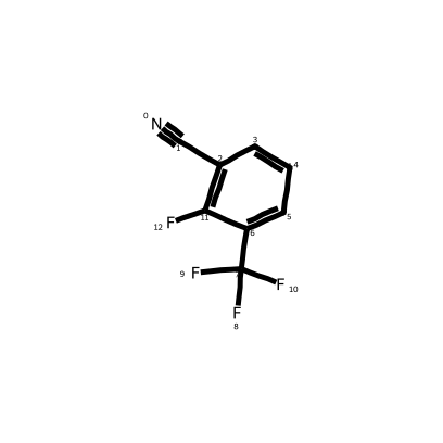 N#Cc1c[c]cc(C(F)(F)F)c1F